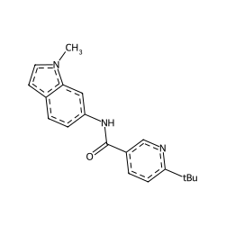 Cn1ccc2ccc(NC(=O)c3ccc(C(C)(C)C)nc3)cc21